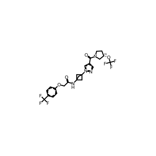 O=C(COc1ccc(C(F)(F)F)cc1)NC12CC(n3cc(C(=O)N4CC[C@H](OC(F)(F)F)C4)cn3)(C1)C2